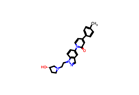 Cc1ccc(-c2ccn(-c3ccc4c(cnn4CCN4CC[C@H](O)C4)c3)c(=O)c2)cc1